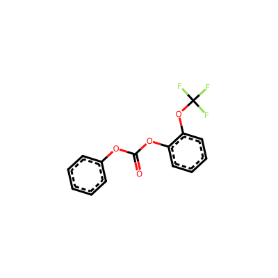 O=C(Oc1ccccc1)Oc1ccccc1OC(F)(F)F